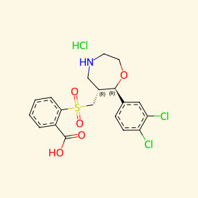 Cl.O=C(O)c1ccccc1S(=O)(=O)C[C@@H]1CNCCO[C@H]1c1ccc(Cl)c(Cl)c1